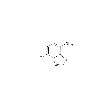 CC1=CC=C(N)C2SC=CC12